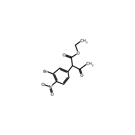 CCOC(=O)C(C(C)=O)c1ccc([N+](=O)[O-])c(Br)c1